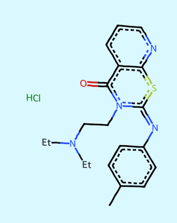 CCN(CC)CCn1c(=Nc2ccc(C)cc2)sc2ncccc2c1=O.Cl